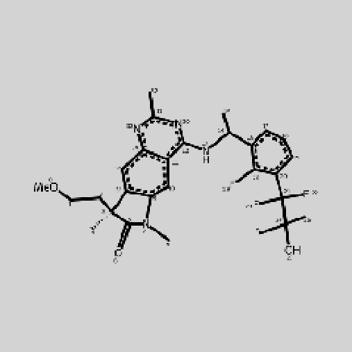 COCC[C@]1(C)C(=O)N(C)c2cc3c(NC(C)c4cccc(C(F)(F)C(C)(C)O)c4F)nc(C)nc3cc21